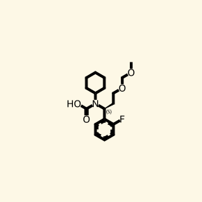 COCOCC[C@@H](c1ccccc1F)N(C(=O)O)C1CCCCC1